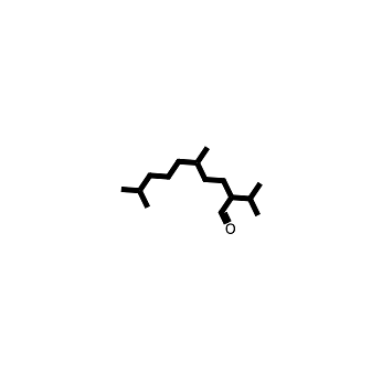 CC(C)CCCC(C)CCC(C=O)C(C)C